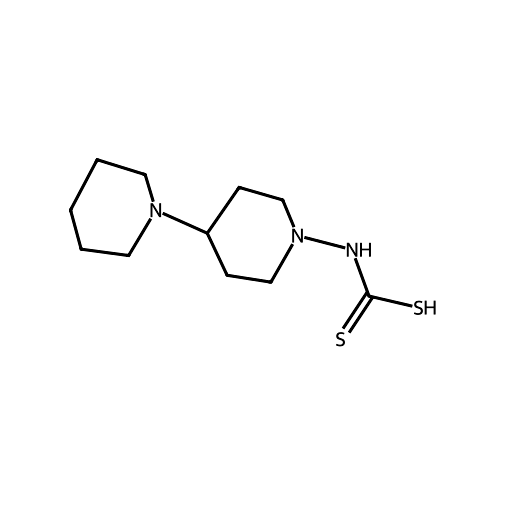 S=C(S)NN1CCC(N2CCCCC2)CC1